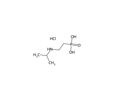 CC(C)NCCP(=O)(O)O.Cl